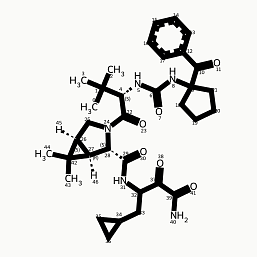 CC(C)(C)[C@H](NC(=O)NC1(C(=O)c2ccccc2)CCCC1)C(=O)N1C[C@H]2[C@@H]([C@H]1C(=O)NC(CC1CC1)C(=O)C(N)=O)C2(C)C